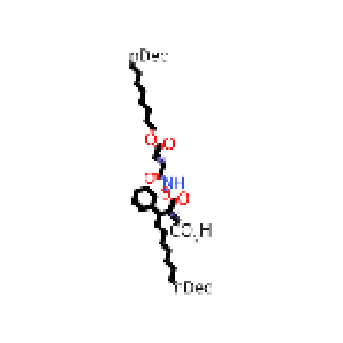 CCCCCCCCCCCCCCCCCCOC(=O)/C=C/C(=O)NOC(=O)/C(=C/C(=O)O)C(CCCCCCCCCCCCCCCCC)C1C=CCCC1